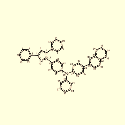 c1ccc(-c2cc(-c3ccccc3)n(-c3ccc(N(c4ccccc4)c4ccc(-c5ccc6ccccc6c5)cc4)cc3)n2)cc1